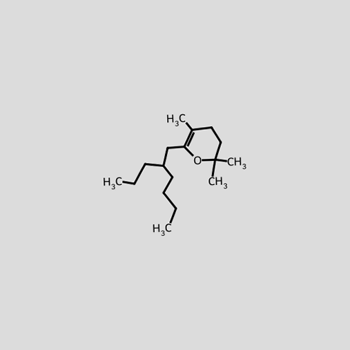 CCCCC(CCC)CC1=C(C)CCC(C)(C)O1